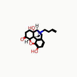 C=CCCN1CC[C@]23c4c5ccc(O)c4O[C@H]2C(=O)CC[C@@]3(O)[C@H]1C5